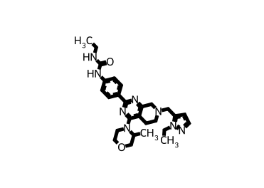 CCNC(=O)Nc1ccc(-c2nc3c(c(N4CCOCC4C)n2)CCN(Cc2ccnn2CC)C3)cc1